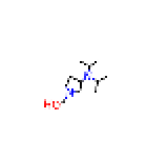 CC(C)N(C(C)C)C1CCN(CO)C1